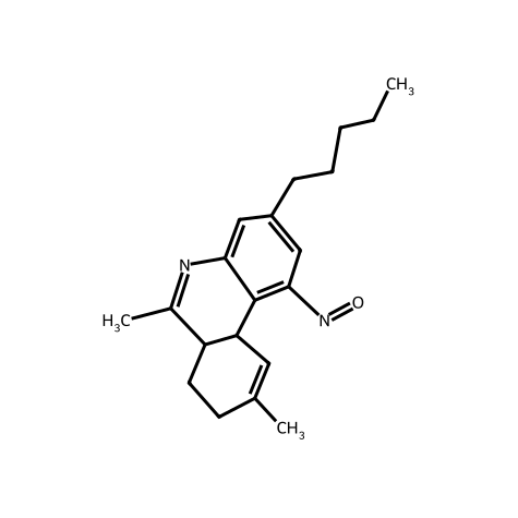 CCCCCc1cc(N=O)c2c(c1)N=C(C)C1CCC(C)=CC21